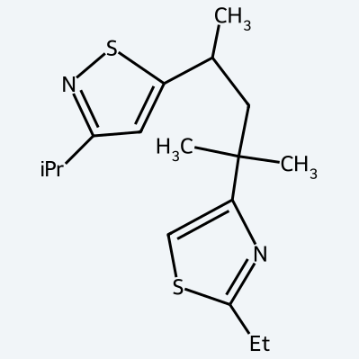 CCc1nc(C(C)(C)CC(C)c2cc(C(C)C)ns2)cs1